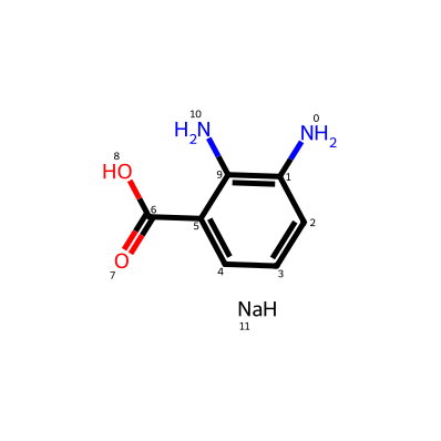 Nc1cccc(C(=O)O)c1N.[NaH]